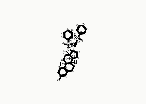 Cc1ccc2c(c1)CC[C@@H]1[C@@H]2CC[C@@]2(C)[C@H]1CC[C@]2(C#C[Si](C)(C)c1ccccc1)O[Si](C)(C)c1ccccc1